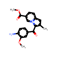 COC(=O)c1ccc2cc(C)c(C(=O)c3ccc(N)c(OC)c3)n2c1